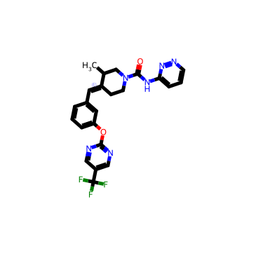 CC1CN(C(=O)Nc2cccnn2)CC/C1=C\c1cccc(Oc2ncc(C(F)(F)F)cn2)c1